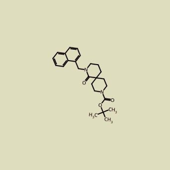 CC(C)(C)OC(=O)N1CCC2(CCCN(Cc3cccc4ccccc34)C2=O)CC1